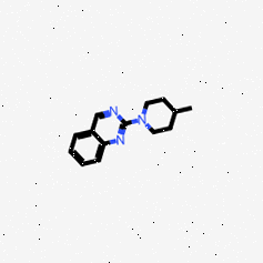 CC1CCN(c2ncc3ccccc3n2)CC1